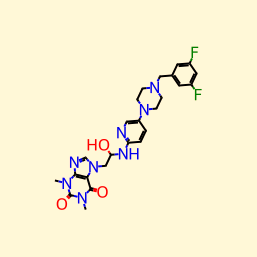 Cn1c(=O)c2c(ncn2CC(O)Nc2ccc(N3CCN(Cc4cc(F)cc(F)c4)CC3)cn2)n(C)c1=O